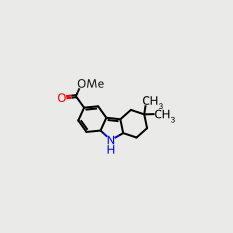 COC(=O)C1=CC2=C3CC(C)(C)CCC3NC2C=C1